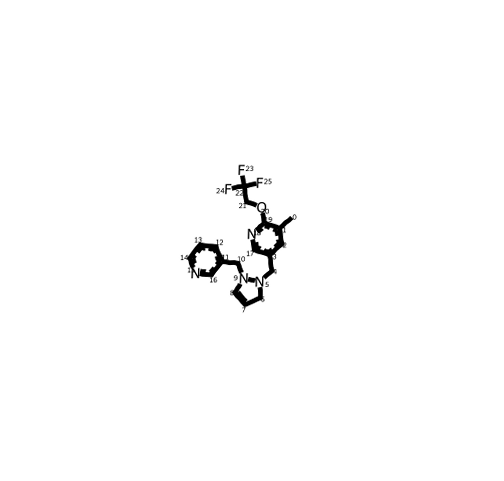 Cc1cc(CN2CC=CN2Cc2cccnc2)cnc1OCC(F)(F)F